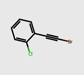 Clc1ccccc1C#CBr